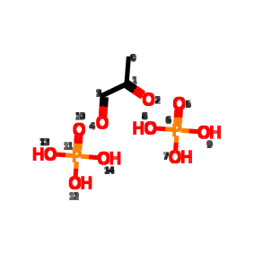 CC(=O)C=O.O=P(O)(O)O.O=P(O)(O)O